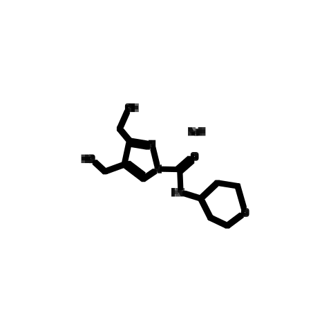 O=C(NC1CCOCC1)n1cc(CO)c(CO)n1.[NaH]